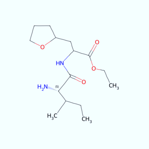 CCOC(=O)C(CC1CCCO1)NC(=O)[C@@H](N)C(C)CC